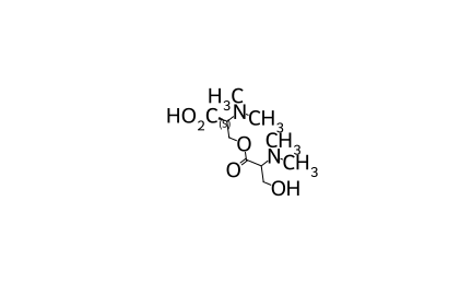 CN(C)C(CO)C(=O)OC[C@@H](C(=O)O)N(C)C